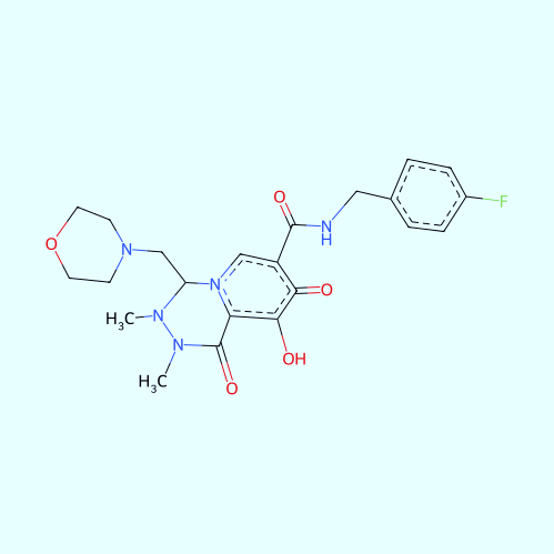 CN1C(=O)c2c(O)c(=O)c(C(=O)NCc3ccc(F)cc3)cn2C(CN2CCOCC2)N1C